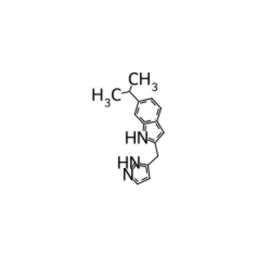 CC(C)c1ccc2cc(Cc3ccn[nH]3)[nH]c2c1